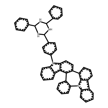 c1ccc(C2NC(c3ccccc3)NC(c3ccc(-n4c5ccccc5c5c6c(ccc54)-c4cccc5c7ccccc7n(c45)-c4ccccc4-6)cc3)N2)cc1